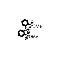 COS(=O)(=O)c1ccccc1[S+](C)c1ccccc1S(=O)(=O)OC